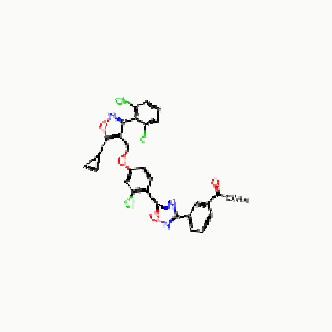 COC(=O)c1cccc(-c2noc(-c3ccc(OCc4c(-c5c(Cl)cccc5Cl)noc4C4CC4)cc3Cl)n2)c1